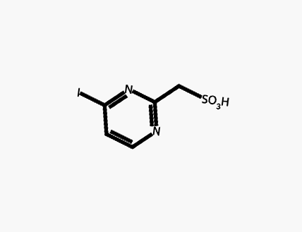 O=S(=O)(O)Cc1nccc(I)n1